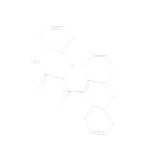 O=C(O)C(Oc1ccccc1)C(=O)c1c2ccccc2cc2ccccc12